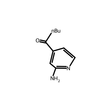 CCCCC(=O)c1ccnc(N)c1